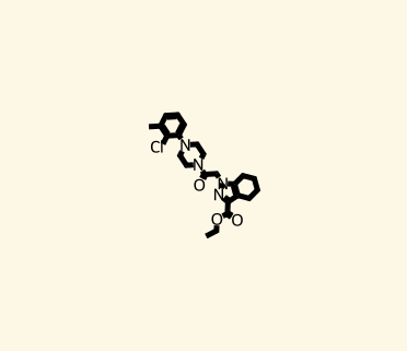 CCOC(=O)c1nn(CC(=O)N2CCN(c3cccc(C)c3Cl)CC2)c2c1CCCC2